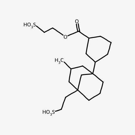 CC1CC2(CCS(=O)(=O)O)CCCC(C3CCCC(C(=O)OCCS(=O)(=O)O)C3)(C1)C2